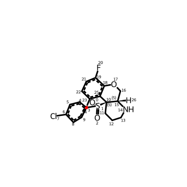 O=S(=O)(c1ccc(Cl)cc1)[C@]12CCCN[C@H]1COc1c(F)ccc(F)c12